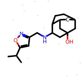 CC(C)c1cc(CNC2CC3(O)CC4CCC2C(C4)C3)no1